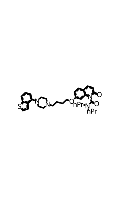 CCCN(CCC)C(=O)n1c(=O)ccc2ccc(OCCCCN3CCN(c4cccc5sccc45)CC3)cc21